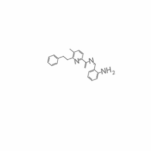 C=C(/N=C\c1ccccc1N)c1ccc(C)c(CCc2ccccc2)n1